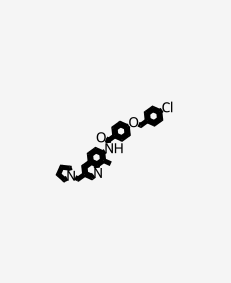 Cc1c(NC(=O)c2ccc(OCc3ccc(Cl)cc3)cc2)ccc2cc(CN3CCCC3)cnc12